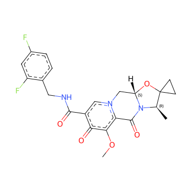 COc1c2n(cc(C(=O)NCc3ccc(F)cc3F)c1=O)C[C@@H]1OC3(CC3)[C@@H](C)N1C2=O